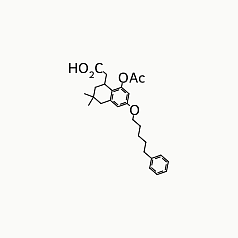 CC(=O)Oc1cc(OCCCCCc2ccccc2)cc2c1C(CC(=O)O)CC(C)(C)C2